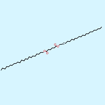 CCCCCCCCCCCCCCCCCCCCCCCOC(=O)CCCCC(=O)OCCCCCCCCCCCCCCCCCCCCCCC